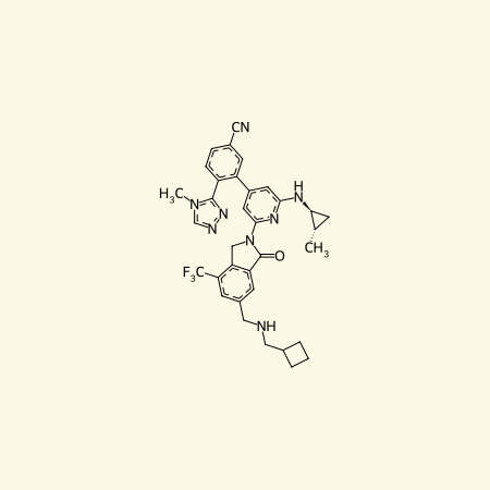 C[C@H]1C[C@@H]1Nc1cc(-c2cc(C#N)ccc2-c2nncn2C)cc(N2Cc3c(cc(CNCC4CCC4)cc3C(F)(F)F)C2=O)n1